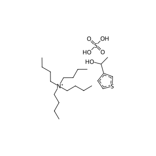 CC(O)c1ccsc1.CCCC[N+](CCCC)(CCCC)CCCC.O=S(=O)(O)O